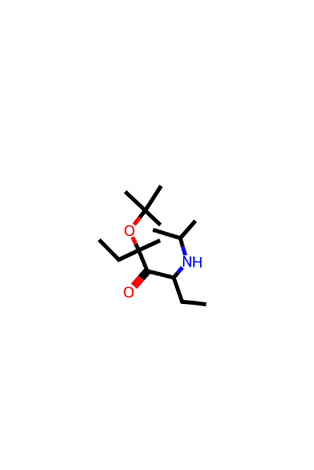 CCC(NC(C)C)C(=O)C(C)(CC)OC(C)(C)C